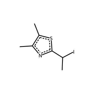 Cc1nc(C(C)I)sc1C